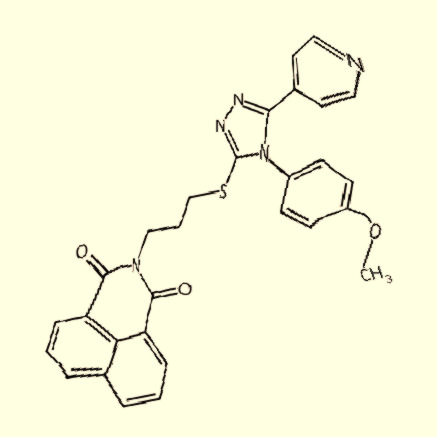 COc1ccc(-n2c(SCCCN3C(=O)c4cccc5cccc(c45)C3=O)nnc2-c2ccncc2)cc1